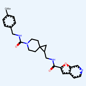 COc1ccc(CNC(=O)N2CCC3(CC2)CC3CNC(=O)c2cc3ccncc3o2)cc1